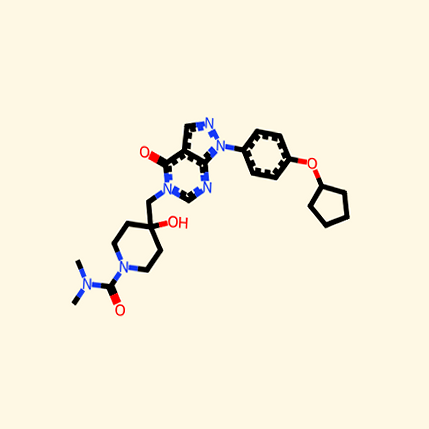 CN(C)C(=O)N1CCC(O)(Cn2cnc3c(cnn3-c3ccc(OC4CCCC4)cc3)c2=O)CC1